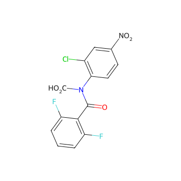 O=C(O)N(C(=O)c1c(F)cccc1F)c1ccc([N+](=O)[O-])cc1Cl